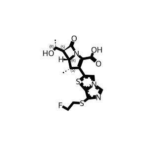 C[C@@H](O)[C@H]1C(=O)N2C(C(=O)O)=C(c3cn4cnc(SCCF)c4s3)[C@H](C)[C@H]12